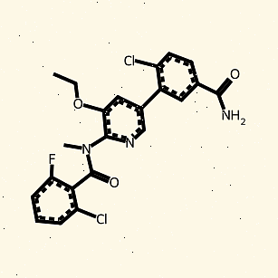 CCOc1cc(-c2cc(C(N)=O)ccc2Cl)cnc1N(C)C(=O)c1c(F)cccc1Cl